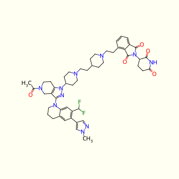 CC(=O)N1CCc2c(c(N3CCCc4cc(-c5cnn(C)c5)c(C(F)F)cc43)nn2C2CCN(CCC3CCN(CCc4cccc5c4C(=O)N(C4CCC(=O)NC4=O)C5=O)CC3)CC2)C1